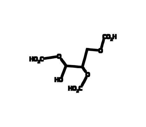 O=C(O)OCC(OC(=O)O)C(O)OC(=O)O